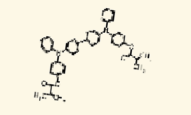 C=C(C)C(=O)Oc1ccc(N(c2ccccc2)c2ccc(-c3ccc(N(c4ccccc4)c4ccc(OC(=O)C(=C)C)cc4)cc3)cc2)cc1